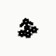 N#Cc1cccc(C#N)c1-c1cc2c(s1)-n1c3ccccc3c3cccc(c31)N2c1ccccc1